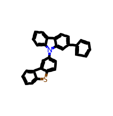 c1ccc(-c2ccc3c4ccccc4n(-c4ccc5sc6ccccc6c5c4)c3c2)cc1